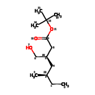 CC[C@@H](C)C[C@@H](CO)CC(=O)OC(C)(C)C